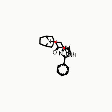 CC(C)(C)NC(=O)CN1C2CCC1CN(Cc1c[nH]c(-c3ccccc3)n1)C2